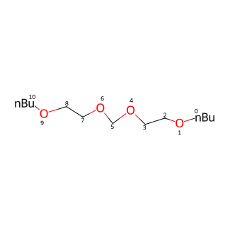 CCCCOCCOCOCCOCCCC